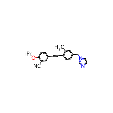 Cc1cc(Cn2ccnc2)ccc1C#Cc1ccc(OC(C)C)c(C#N)c1